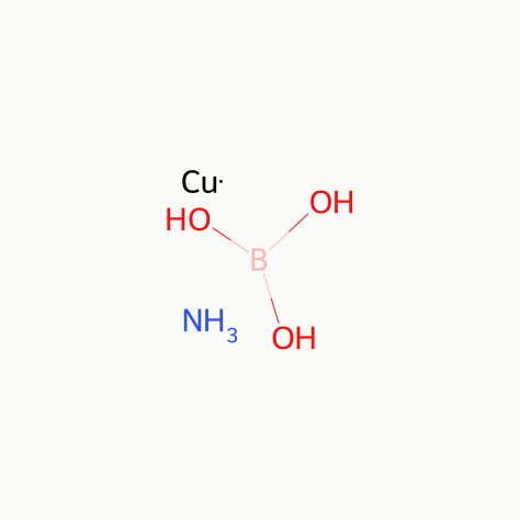 N.OB(O)O.[Cu]